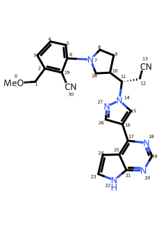 COCc1cccc(N2CCC([C@H](CC#N)n3cc(-c4ncnc5[nH]ccc45)cn3)C2)c1C#N